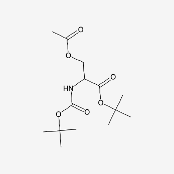 CC(=O)OCC(NC(=O)OC(C)(C)C)C(=O)OC(C)(C)C